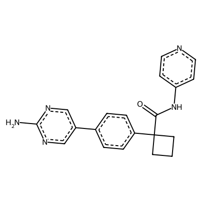 Nc1ncc(-c2ccc(C3(C(=O)Nc4ccncc4)CCC3)cc2)cn1